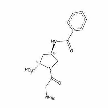 CC(=O)NCC(=O)N1C[C@H](NC(=O)c2ccccc2)C[C@H]1C(=O)O